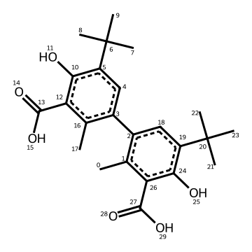 Cc1c(-c2cc(C(C)(C)C)c(O)c(C(=O)O)c2C)cc(C(C)(C)C)c(O)c1C(=O)O